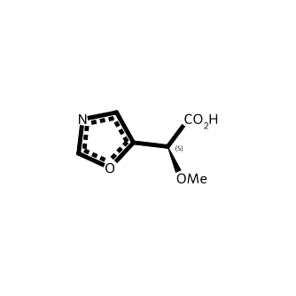 CO[C@H](C(=O)O)c1cnco1